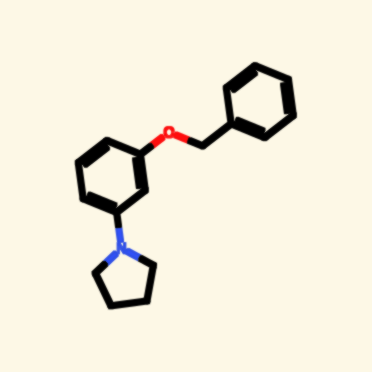 c1ccc(COc2cccc(N3CCCC3)c2)cc1